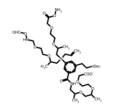 C=CC[N+](CC(C)OCCOCNOC=O)(CC(C)OCCOCC(=O)ON)c1cc(CCCCCCCCCCCC)cc(C(=O)NCC(C)OCC(C)OCCOCC(=O)[O-])c1